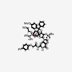 COc1ccc(C(OC2C(O[Si](C)(C)C(C)(C)C)C(n3cnc4c(=O)[nH]c(NC(=O)COc5ccc(C(C)C)cc5)nc43)O[C@@H]2COP(OCCC#N)N(C(C)C)C(C)C)(c2ccccc2)c2ccccc2)cc1